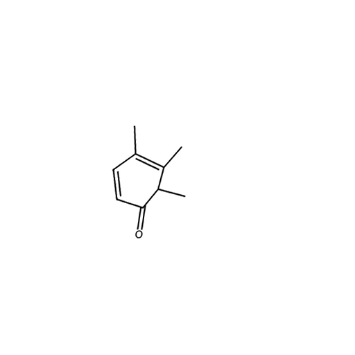 CC1=C(C)C(C)C(=O)C=C1